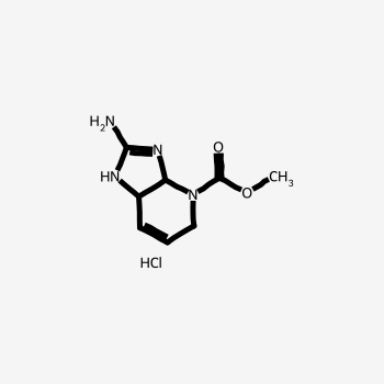 COC(=O)N1CC=CC2NC(N)=NC21.Cl